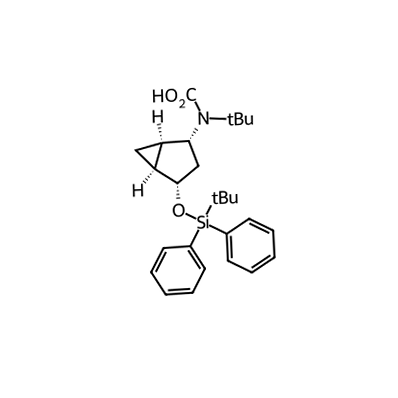 CC(C)(C)N(C(=O)O)[C@@H]1C[C@H](O[Si](c2ccccc2)(c2ccccc2)C(C)(C)C)[C@H]2C[C@H]21